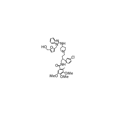 COc1cc(C(=O)NCC(CCN2CCC(Nc3nc4ccccc4n3Cc3ccc(CO)o3)CC2)c2cccc(Cl)c2)c(C)c(OC)c1OC